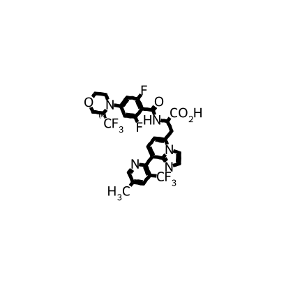 Cc1cnc(-c2ccc(CC(NC(=O)c3c(F)cc(N4CCOC[C@@H]4C(F)(F)F)cc3F)C(=O)O)n3ccnc23)c(C(F)(F)F)c1